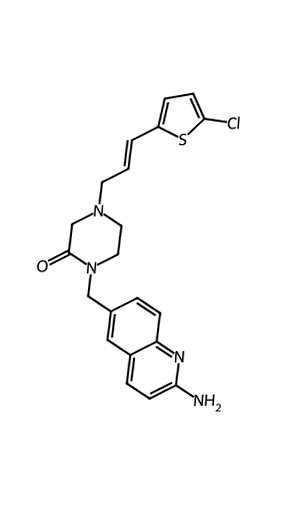 Nc1ccc2cc(CN3CCN(CC=Cc4ccc(Cl)s4)CC3=O)ccc2n1